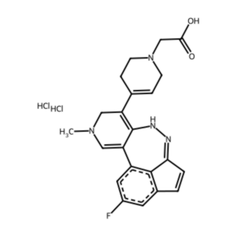 CN1C=C2C(=C(C3=CCN(CC(=O)O)CC3)C1)NN=C1C=Cc3cc(F)cc2c31.Cl.Cl